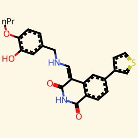 CCCOc1ccc(CN/C=C2\C(=O)NC(=O)c3ccc(-c4ccsc4)cc32)cc1O